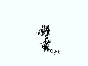 CCOC(=O)Cn1c(Cl)cnc(NC(CNCCOCCOc2ccc(Cl)cc2CNC(=O)OC(C)(C)C)CC2CC2)c1=O